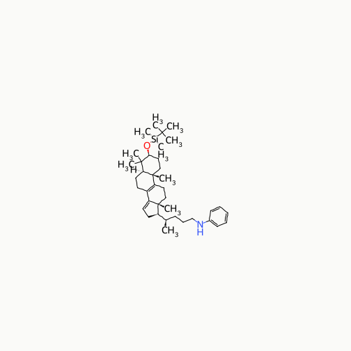 C[C@H](CCCNc1ccccc1)[C@H]1CC=C2C3=C(CC[C@@]21C)[C@@]1(C)CC[C@H](O[Si](C)(C)C(C)(C)C)C(C)(C)[C@@H]1CC3